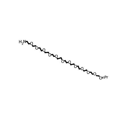 CCCOCCOCCOCCOCCOCCOCCOCCOCCOCCOCCOCCOCCN